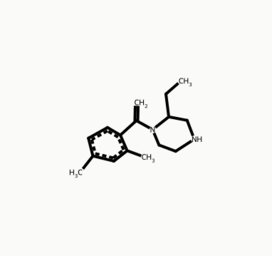 C=C(c1ccc(C)cc1C)N1CCNCC1CC